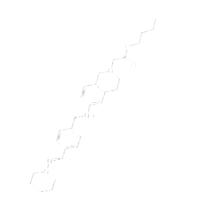 CCCCOC(=O)CN1CCc2cc(NC(=O)c3ccc(/C=N/N4CCCCC4)cc3)ccc2C1